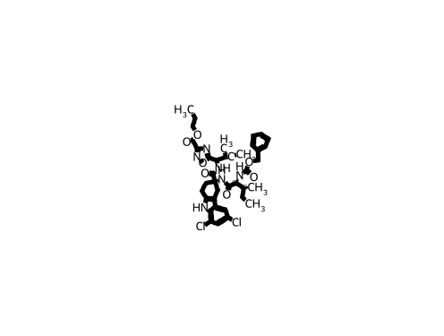 CCCOC(=O)c1noc(C(NC(=O)[C@@]2(NC(=O)[C@@H](NC(=O)OCc3ccccc3)[C@@H](C)CC)CCc3[nH]c4c(Cl)cc(Cl)cc4c3C2)C(C)CC)n1